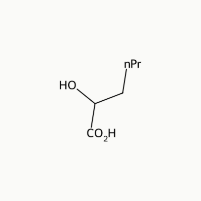 [CH2]CCCC(O)C(=O)O